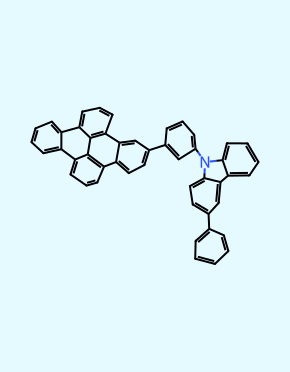 c1ccc(-c2ccc3c(c2)c2ccccc2n3-c2cccc(-c3ccc4c(c3)c3cccc5c6ccccc6c6cccc4c6c53)c2)cc1